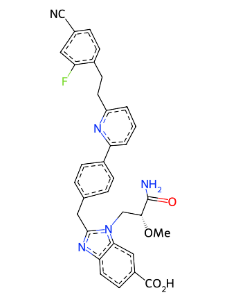 CO[C@H](Cn1c(Cc2ccc(-c3cccc(CCc4ccc(C#N)cc4F)n3)cc2)nc2ccc(C(=O)O)cc21)C(N)=O